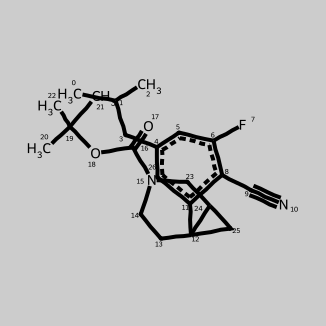 CC(C)Cc1cc(F)c(C#N)c(C23CCN(C(=O)OC(C)(C)C)CC2C3)c1